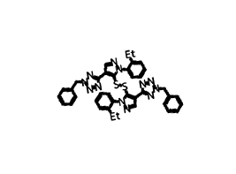 CCc1ccccc1-n1ncc(-c2nnn(Cc3ccccc3)n2)c1SSc1c(-c2nnn(Cc3ccccc3)n2)cnn1-c1ccccc1CC